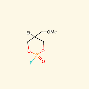 CCC1(COC)COP(=O)(F)OC1